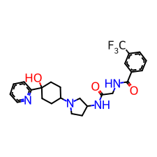 O=C(CNC(=O)c1cccc(C(F)(F)F)c1)NC1CCN(C2CCC(O)(c3ccccn3)CC2)C1